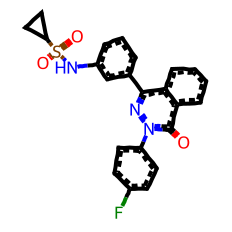 O=c1c2ccccc2c(-c2cccc(NS(=O)(=O)C3CC3)c2)nn1-c1ccc(F)cc1